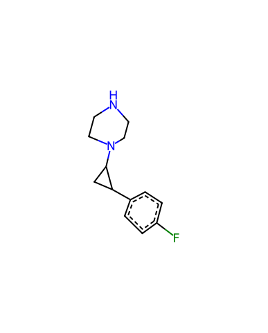 Fc1ccc(C2CC2N2CCNCC2)cc1